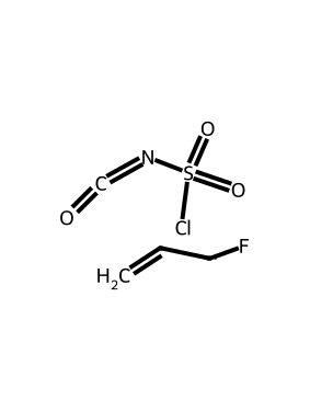 C=C[CH]F.O=C=NS(=O)(=O)Cl